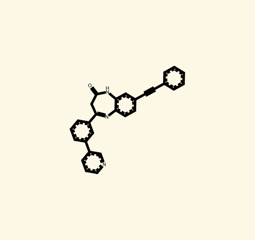 O=C1CC(c2cccc(-c3cccnc3)c2)=Nc2ccc(C#Cc3ccccc3)cc2N1